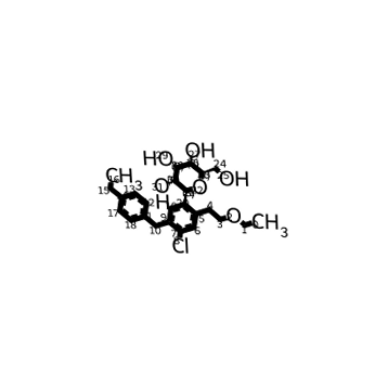 CCOCCc1cc(Cl)c(Cc2ccc(CC)cc2)cc1[C@@H]1O[C@H](CO)[C@@H](O)[C@H](O)[C@H]1O